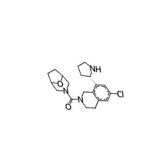 O=C(N1CCc2cc(Cl)cc([C@@H]3CCCN3)c2C1)N1CC2CCC(C1)O2